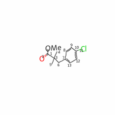 COC(=O)C(C)(C)Cc1ccc(Cl)cc1